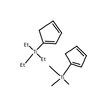 C[CH2][Ti]([CH2]C)([CH2]C)[C]1=CC=CC1.[CH3][Ti]([CH3])([CH3])[C]1=CC=CC1